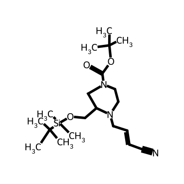 CC(C)(C)OC(=O)N1CCN(CC=CC#N)C(CO[Si](C)(C)C(C)(C)C)C1